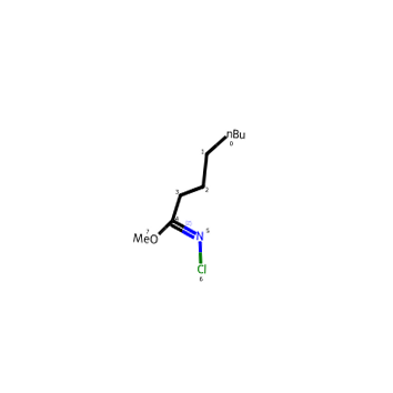 CCCCCCC/C(=N/Cl)OC